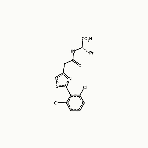 CC(C)[C@H](NC(=O)Cc1csc(-c2c(Cl)cccc2Cl)n1)C(=O)O